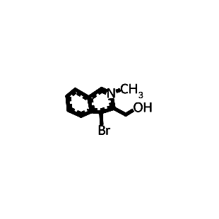 C[n+]1cc2ccccc2c(Br)c1CO